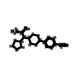 COc1ccc(C2CCC(C(C(N)=O)C3CCCC3)CC2)cc1